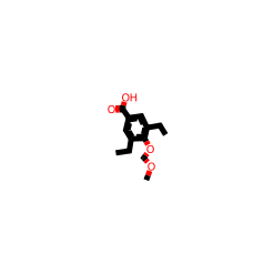 CCc1cc(C(=O)O)cc(CC)c1OCOC